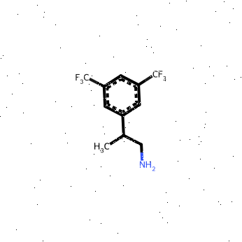 CC(CN)c1cc(C(F)(F)F)cc(C(F)(F)F)c1